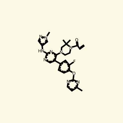 C=CC(=O)N1CCN(c2nc(Nc3cnn(C)c3)ncc2-c2ccc(Oc3nccc(C)n3)c(F)c2)CC1(C)C